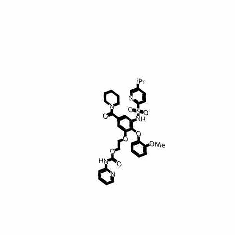 COc1ccccc1Oc1c(NS(=O)(=O)c2ccc(C(C)C)cn2)cc(C(=O)N2CCCCC2)cc1OCCOC(=O)Nc1ccccn1